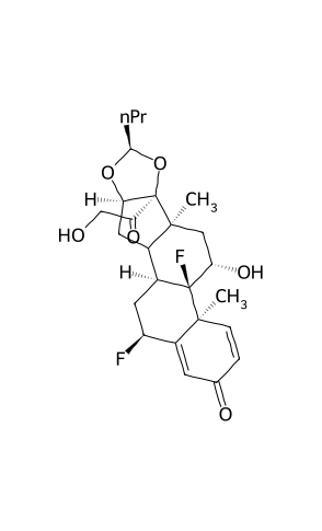 CCC[C@@H]1O[C@@H]2CC3[C@@H]4C[C@H](F)C5=CC(=O)C=C[C@]5(C)[C@@]4(F)[C@@H](O)C[C@]3(C)[C@]2(C(=O)CO)O1